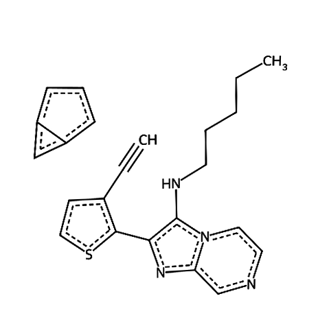 C#Cc1ccsc1-c1nc2cnccn2c1NCCCCC.c1cc2cc-2c1